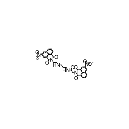 O=C(CN1C(=O)c2cccc3cc([N+](=O)[O-])cc(c23)C1=O)NCCCNCCN1C(=O)c2cccc3cc([N+](=O)[O-])cc(c23)C1=O